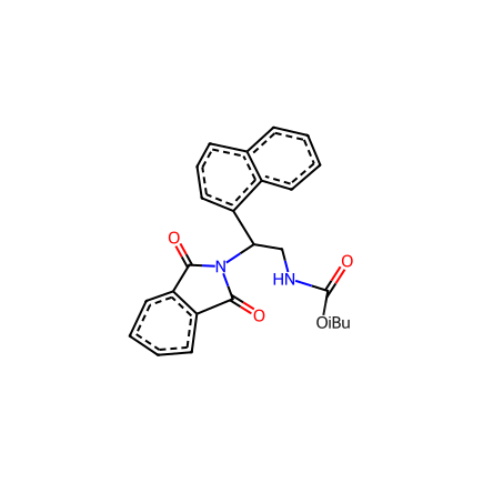 CC(C)COC(=O)NCC(c1cccc2ccccc12)N1C(=O)c2ccccc2C1=O